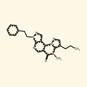 CCCc1cnn2c3c(cnc4c3cnn4CCc3ccccc3)c(=O)n(C)c12